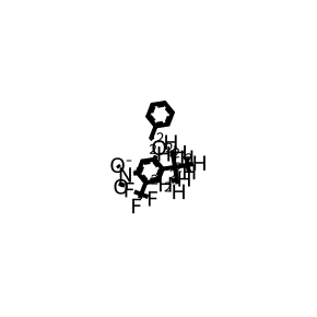 [2H]C([2H])([2H])C(c1cc(C(F)(F)F)c([N+](=O)[O-])cc1OCc1ccccc1)(C([2H])([2H])[2H])C([2H])([2H])[2H]